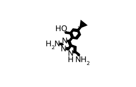 NCc1cc2c(-c3ccc([C]4CC4)cc3CO)nc(N)nc2[nH]1